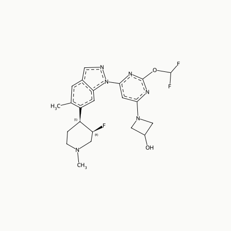 Cc1cc2cnn(-c3cc(N4CC(O)C4)nc(OC(F)F)n3)c2cc1[C@@H]1CCN(C)C[C@@H]1F